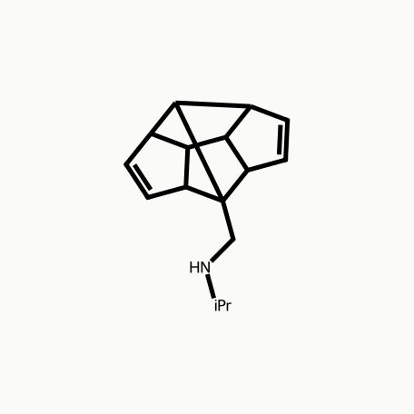 CC(C)NCC12C3C=CC4C3C3C(C=CC31)C42